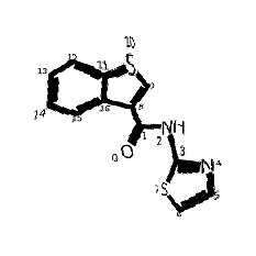 O=C(Nc1nccs1)c1csc2ccccc12